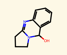 OC1c2ccccc2N=C2CCCN21